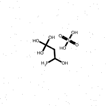 O=S(=O)(O)O.OC(P)CC(O)(O)O